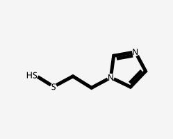 SSCCn1ccnc1